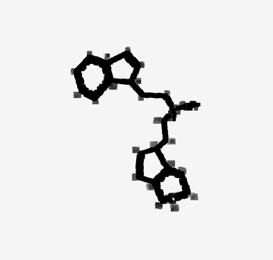 CCC[SiH](CCC1C=Cc2ccccc21)CCC1C=Cc2ccccc21